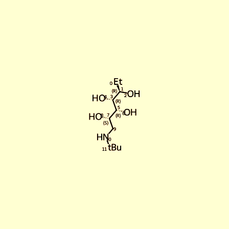 CC[C@@H](O)[C@@H](O)[C@H](O)[C@@H](O)CNC(C)(C)C